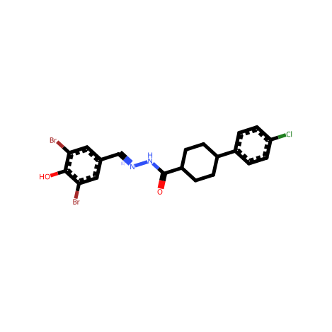 O=C(N/N=C/c1cc(Br)c(O)c(Br)c1)C1CCC(c2ccc(Cl)cc2)CC1